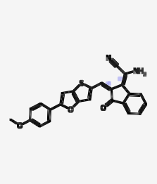 COc1ccc(-c2cc3sc(/C=C4\C(=O)c5ccccc5\C4=C(/N)C#N)cc3o2)cc1